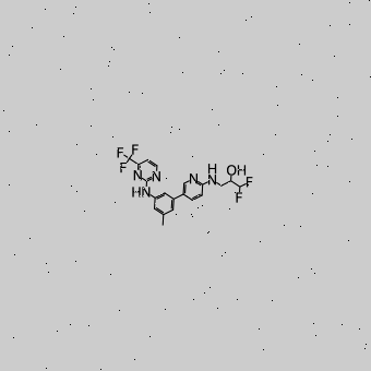 Cc1cc(Nc2nccc(C(F)(F)F)n2)cc(-c2ccc(NCC(O)C(F)F)nc2)c1